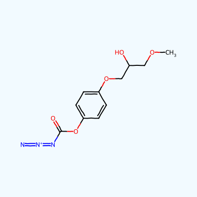 COCC(O)COc1ccc(OC(=O)N=[N+]=[N-])cc1